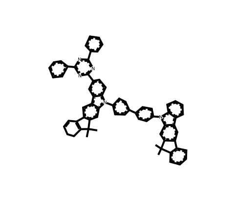 CC1(C)C2=C(C=CCC2)c2cc3c4cc(-c5nc(-c6ccccc6)nc(-c6ccccc6)n5)ccc4n(-c4ccc(-c5ccc(-n6c7ccccc7c7cc8c(cc76)C(C)(C)c6ccccc6-8)cc5)cc4)c3cc21